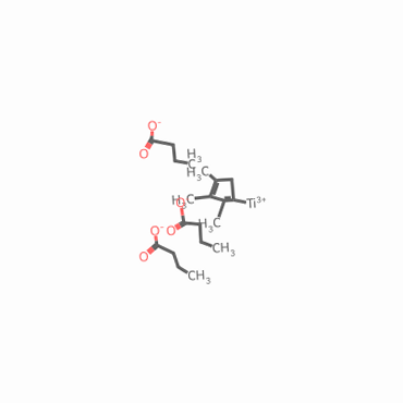 CC1=C(C)C(C)=[C]([Ti+3])C1.CCCC(=O)[O-].CCCC(=O)[O-].CCCC(=O)[O-]